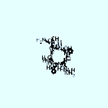 CC(=O)N[C@@H](CCCCN)C(=O)N[C@H]1CCSSC(C)(C)[C@@H](C(=O)O)NC(=O)[C@H](Cc2c[nH]c3ccccc23)NC(=O)[C@H](CCCNC(=N)N)NC(=O)[C@@H](Cc2ccccc2)NC(=O)[C@H](CO)NC1=O